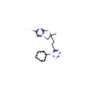 CC1(CCc2nnnn2-c2ccccc2)Cn2cc([N+](=O)[O-])nc2O1